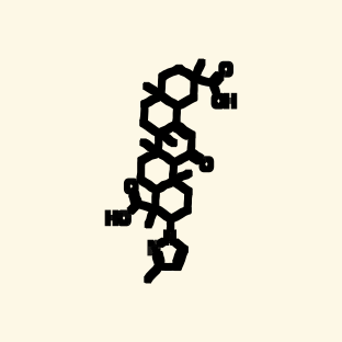 Cc1ccn(C2CCC3(C)C(CCC4(C)C3C(=O)C=C3C5CC(C)(C(=O)O)CCC5(C)CCC34C)C2(C)C(=O)O)n1